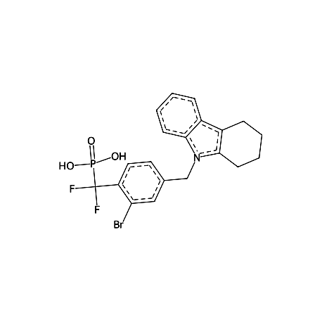 O=P(O)(O)C(F)(F)c1ccc(Cn2c3c(c4ccccc42)CCCC3)cc1Br